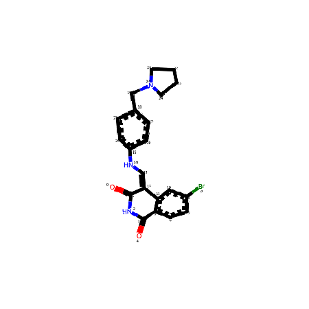 O=C1NC(=O)c2ccc(Br)cc2C1=CNc1ccc(CN2CCCC2)cc1